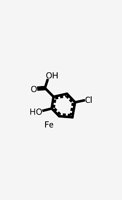 O=C(O)c1cc(Cl)ccc1O.[Fe]